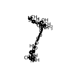 Cc1ncsc1-c1ccc(CNC(=O)[C@@H]2C[C@@H](O)CN2C(=O)C(NC(=O)COCCOCCOCCOCCNC(=O)Cn2ccc3c(Nc4nc(Cl)cc5nc[nH]c(=O)c45)cccc32)C(C)(C)C)cc1